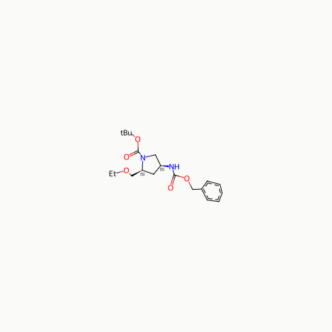 CCOC[C@@H]1C[C@H](NC(=O)OCc2ccccc2)CN1C(=O)OC(C)(C)C